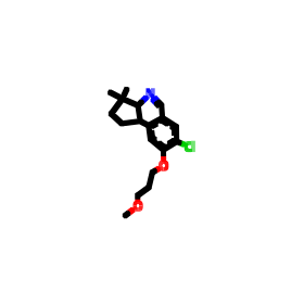 COCCCOc1cc2c(cc1Cl)C=NC1C2CCC1(C)C